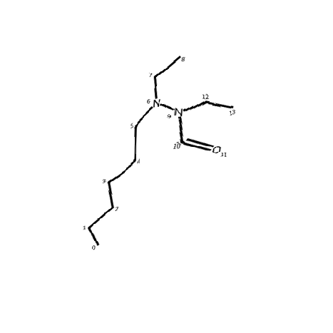 CCCCCCN(CC)N([C]=O)CC